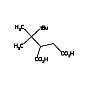 CC(C)(C)C(C)(C)C(CC(=O)O)C(=O)O